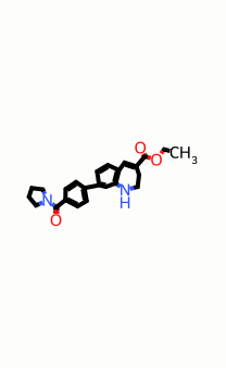 CCOC(=O)C1=Cc2ccc(-c3ccc(C(=O)N4CCCC4)cc3)cc2NCC1